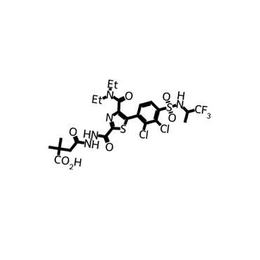 CCN(CC)C(=O)c1nc(C(=O)NNC(=O)CC(C)(C)C(=O)O)sc1-c1ccc(S(=O)(=O)NC(C)C(F)(F)F)c(Cl)c1Cl